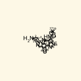 C[C@H]1C[C@@H](N)CN1c1ncc2c3c(c(-c4ncc(F)c5sc(NC(=O)OC(C)(C)C)c(C#N)c45)c(F)c2n1)COC3